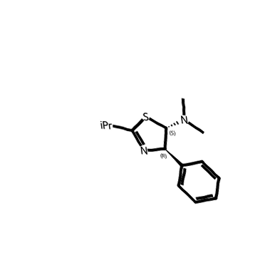 CC(C)C1=N[C@H](c2ccccc2)[C@@H](N(C)C)S1